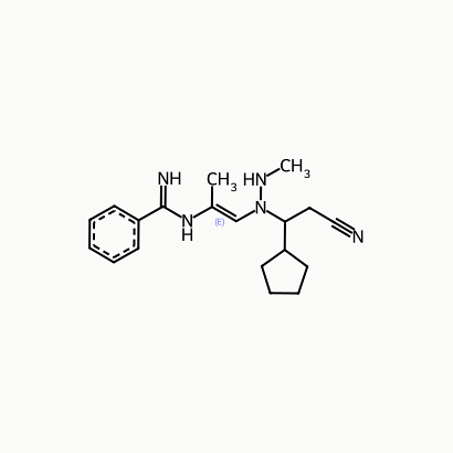 CNN(/C=C(\C)NC(=N)c1ccccc1)C(CC#N)C1CCCC1